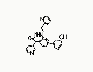 NC(=O)C(c1cccnc1)c1ccc(-c2cccc(O)c2)nc1NCCc1ccccn1